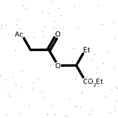 CCOC(=O)C(CC)OC(=O)CC(C)=O